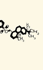 C=C(C)[C@]1(C)CC=C2C(CCC3[C@@H](COS(=O)(=O)c4ccccc4)CCC(C)[C@H]23)C1